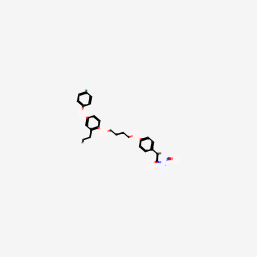 CCCc1cc(Oc2ccc(F)cc2)ccc1OCCCCOc1ccc(C2SC(=O)NC2=O)cc1